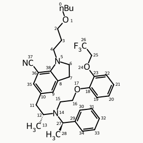 CCCCOCCCN1CCc2cc(C[C@@H](C)N(CCOc3ccccc3OCC(F)(F)F)[C@H](C)c3ccccc3)cc(C#N)c21